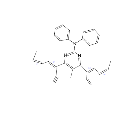 C#C/C(=C\C=C/C)c1nc(N(c2ccccc2)c2ccccc2)nc(/C(C=C)=C/C=C\C)c1C